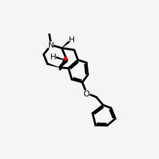 CN1CC[C@]23CCCC[C@H]2[C@H]1Cc1ccc(OCc2ccccc2)cc13